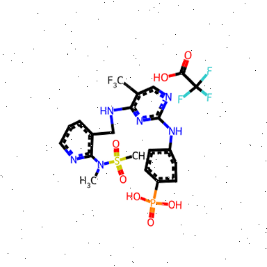 CN(c1ncccc1CNc1nc(Nc2ccc(P(=O)(O)O)cc2)ncc1C(F)(F)F)S(C)(=O)=O.O=C(O)C(F)(F)F